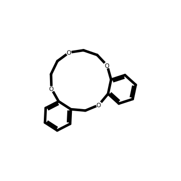 c1ccc2c(c1)COc1ccccc1OCCOCCO2